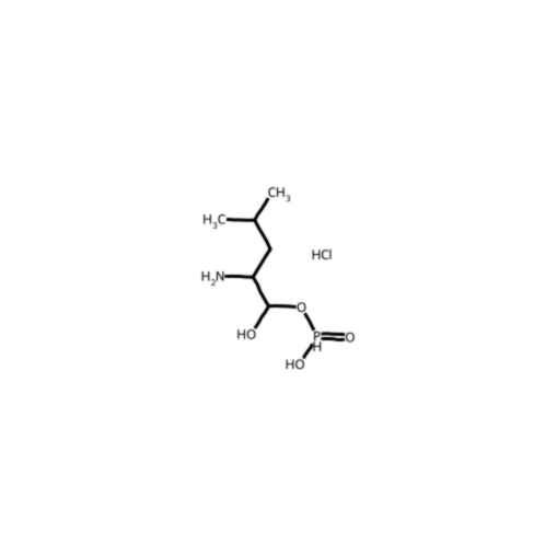 CC(C)CC(N)C(O)O[PH](=O)O.Cl